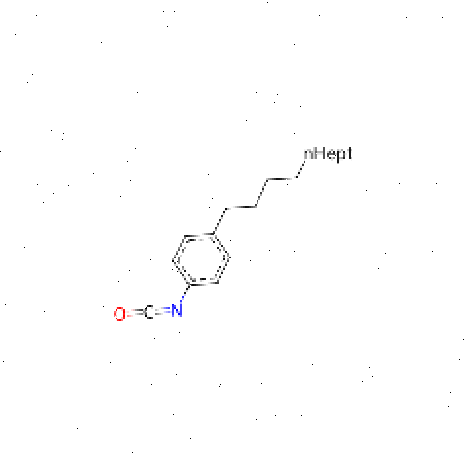 CCCCCCCCCCCc1ccc(N=C=O)cc1